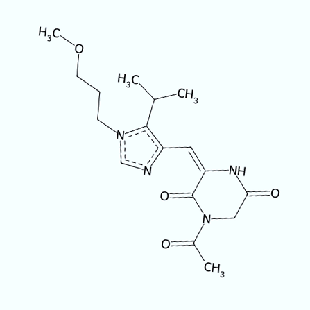 COCCCn1cnc(C=C2NC(=O)CN(C(C)=O)C2=O)c1C(C)C